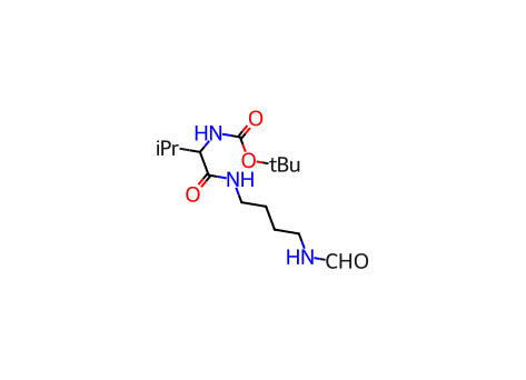 CC(C)C(NC(=O)OC(C)(C)C)C(=O)NCCCCNC=O